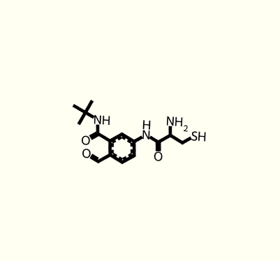 CC(C)(C)NC(=O)c1cc(NC(=O)C(N)CS)ccc1C=O